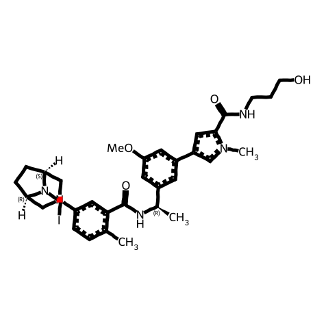 COc1cc(-c2cc(C(=O)NCCCO)n(C)c2)cc([C@@H](C)NC(=O)c2cc(N3C[C@H]4CC[C@@H](C3)N4CI)ccc2C)c1